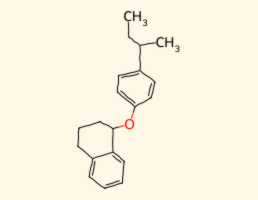 CCC(C)c1ccc(OC2CCCc3ccccc32)cc1